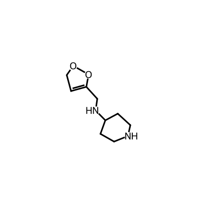 C1=C(CNC2CCNCC2)OOC1